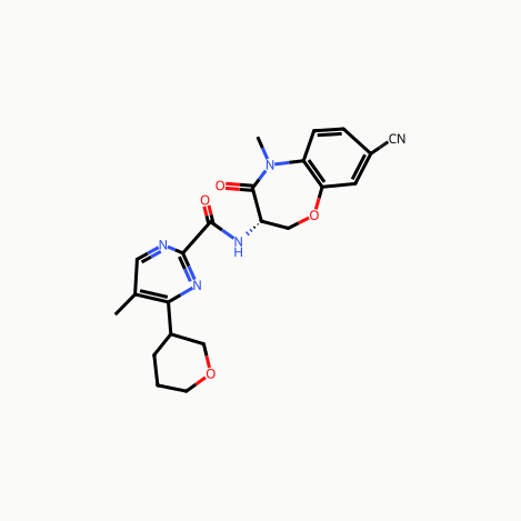 Cc1cnc(C(=O)N[C@H]2COc3cc(C#N)ccc3N(C)C2=O)nc1C1CCCOC1